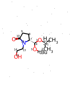 C[SiH](C)OC(OC(C)(C)C)[C@H]1CCC(=O)N1CCO